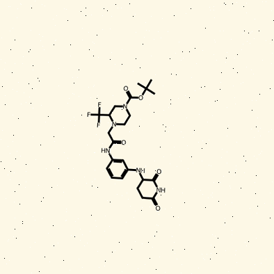 CC(C)(C)OC(=O)N1CCN(CC(=O)Nc2cccc(NC3CCC(=O)NC3=O)c2)C(C(F)(F)F)C1